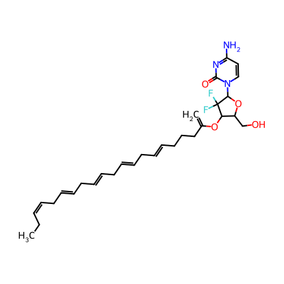 C=C(CCC/C=C/C/C=C/C/C=C/C/C=C/C/C=C\CC)OC1C(CO)OC(n2ccc(N)nc2=O)C1(F)F